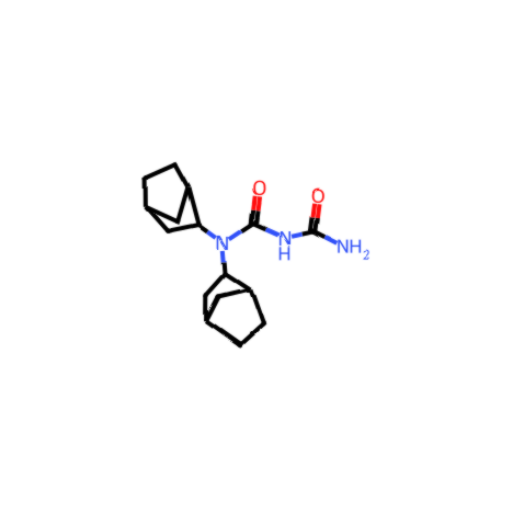 NC(=O)NC(=O)N(C1CC2CCC1C2)C1CC2CCC1C2